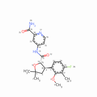 COc1c([C@H]2CC(C)(C)O[C@@H]2C(=O)Nc2ccnc(C(N)=O)c2)ccc(F)c1C